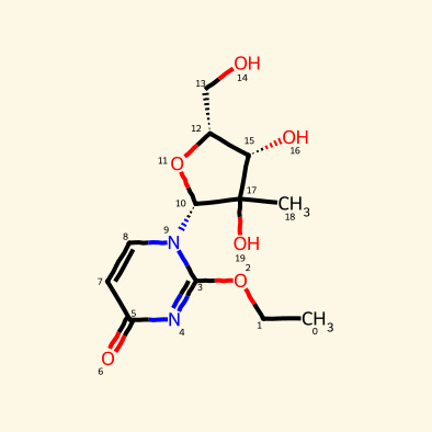 CCOc1nc(=O)ccn1[C@@H]1O[C@H](CO)[C@H](O)C1(C)O